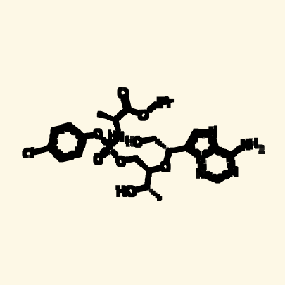 CC(C)OC(=O)[C@H](C)NP(=O)(OC[C@@H](O[C@H](CO)c1cnc2c(N)ncnn12)[C@H](C)O)Oc1ccc(Cl)cc1